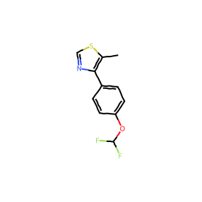 Cc1scnc1-c1ccc(OC(F)F)cc1